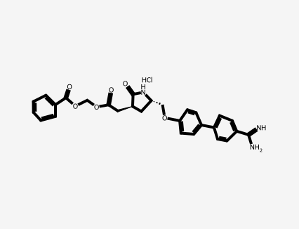 Cl.N=C(N)c1ccc(-c2ccc(OC[C@@H]3C[C@@H](CC(=O)OCOC(=O)c4ccccc4)C(=O)N3)cc2)cc1